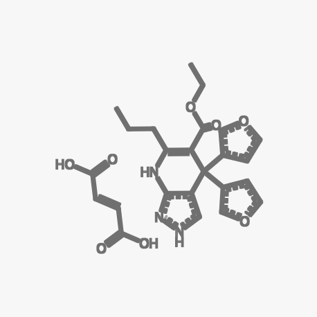 CCCC1=C(C(=O)OCC)C(c2ccoc2)(c2ccoc2)c2c[nH]nc2N1.O=C(O)C=CC(=O)O